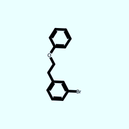 Brc1cccc(CCOc2ccccc2)c1